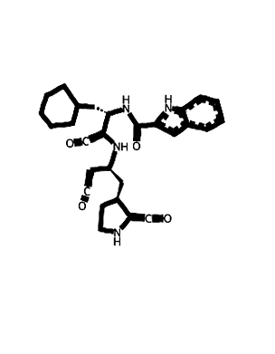 O=C=C[C@H](C[C@@H]1CCNC1=C=O)NC(=C=O)[C@H](CC1CCCCC1)NC(=O)c1cc2ccccc2[nH]1